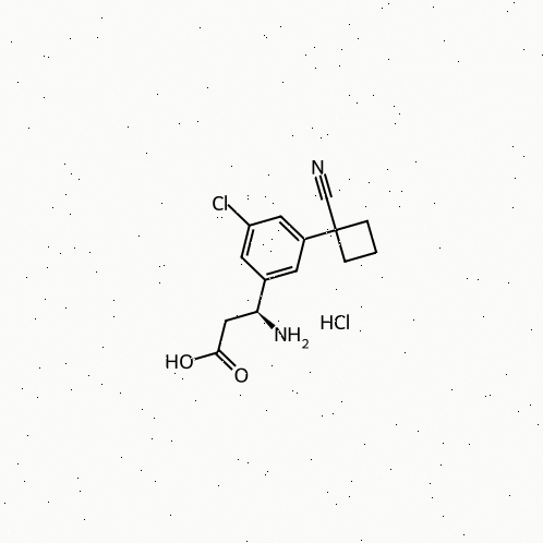 Cl.N#CC1(c2cc(Cl)cc([C@@H](N)CC(=O)O)c2)CCC1